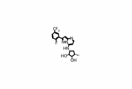 [CH2][C@@H]1C[C@@H](Nc2ccnc3cc(-c4cc(C(F)(F)F)ccc4F)nn23)[C@H](O)[C@@H]1O